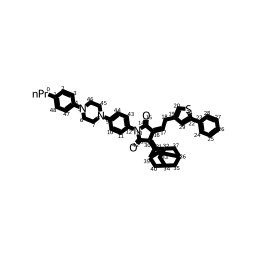 CCCc1ccc(N2CCN(c3ccc(N4C(=O)C(=CCc5csc(-c6cc[c]cc6)c5)C(=C5C6CC7CC(C6)CC5C7)C4=O)cc3)CC2)cc1